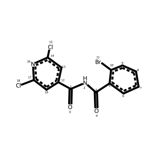 O=C(NC(=O)c1ccccc1Br)c1cc(Cl)nc(Cl)c1